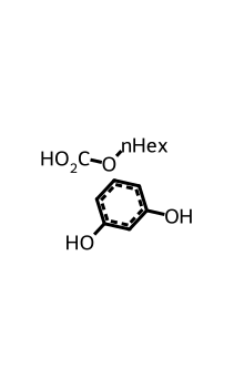 CCCCCCOC(=O)O.Oc1cccc(O)c1